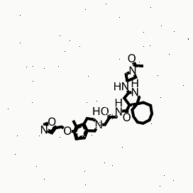 CC(=O)N1CC(NC2CC(C(=O)NC[C@H](O)CN3CCc4c(ccc(OCc5cnco5)c4C)C3)C3(CCCCCCCC3)CN2)C1